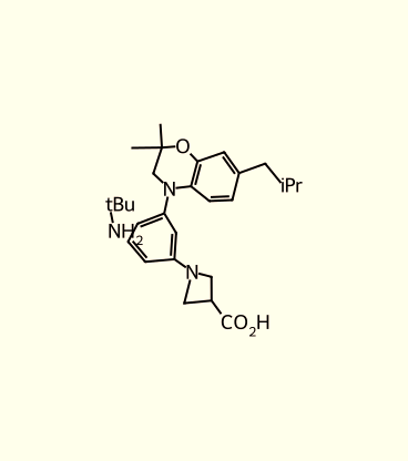 CC(C)(C)N.CC(C)Cc1ccc2c(c1)OC(C)(C)CN2c1cccc(N2CC(C(=O)O)C2)c1